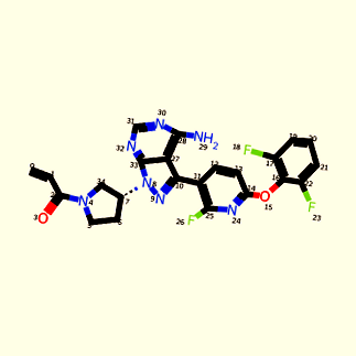 C=CC(=O)N1CC[C@@H](n2nc(-c3ccc(Oc4c(F)cccc4F)nc3F)c3c(N)ncnc32)C1